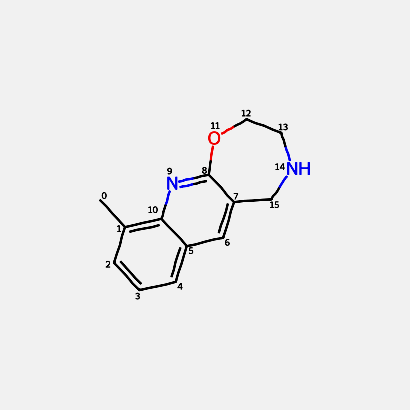 Cc1cccc2cc3c(nc12)OCCNC3